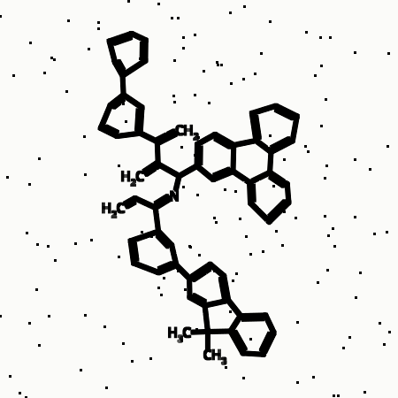 C=C/C(=N\C(C(=C)C(=C)c1cccc(-c2ccccc2)c1)c1ccc2c3ccccc3c3ccccc3c2c1)c1cccc(-c2ccc3c(c2)C(C)(C)c2ccccc2-3)c1